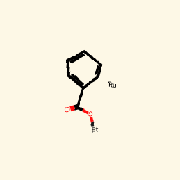 CCOC(=O)c1ccccc1.[Ru]